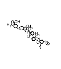 Cc1c(-c2nc3cc(CN4CCCC4)cc(C#N)c3o2)cccc1-c1cccc(NC(=O)c2nc3c(n2C)CCN(CC2CCC(C)(C(=O)O)CC2)C3)c1Cl